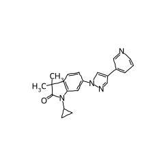 CC1(C)C(=O)N(C2CC2)c2cc(-n3cc(-c4cccnc4)cn3)ccc21